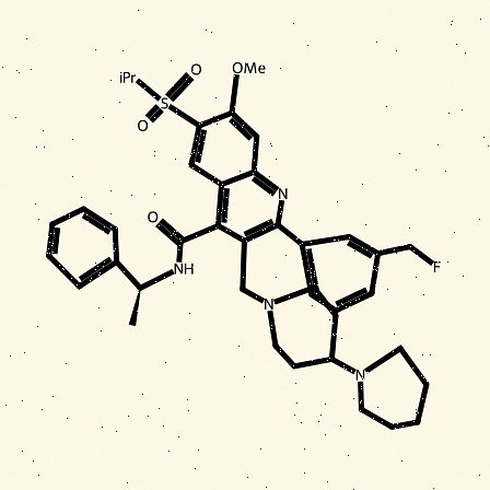 COc1cc2nc(-c3cccc(CF)c3)c(CN3CCC(N4CCCCC4)CC3)c(C(=O)N[C@@H](C)c3ccccc3)c2cc1S(=O)(=O)C(C)C